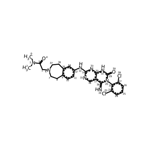 CN(C)C(=O)CN1CCc2ccc(Nc3ncc4c(=N)n(-c5c(Cl)cccc5Cl)c(=O)[nH]c4n3)cc2CC1